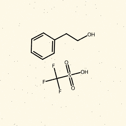 O=S(=O)(O)C(F)(F)F.OCCc1ccccc1